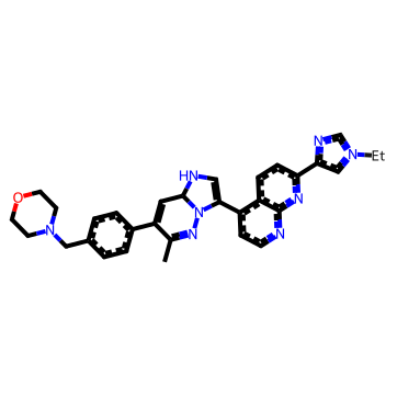 CCn1cnc(-c2ccc3c(C4=CNC5C=C(c6ccc(CN7CCOCC7)cc6)C(C)=NN45)ccnc3n2)c1